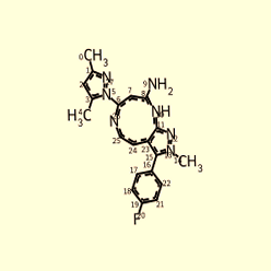 Cc1cc(C)n(-c2cc(N)[nH]c3nn(C)c(-c4ccc(F)cc4)c3ccn2)n1